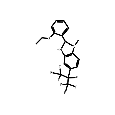 CCSc1ccccc1C1Nc2cc(C(F)(C(F)(F)F)C(F)(F)F)ccc2N1C